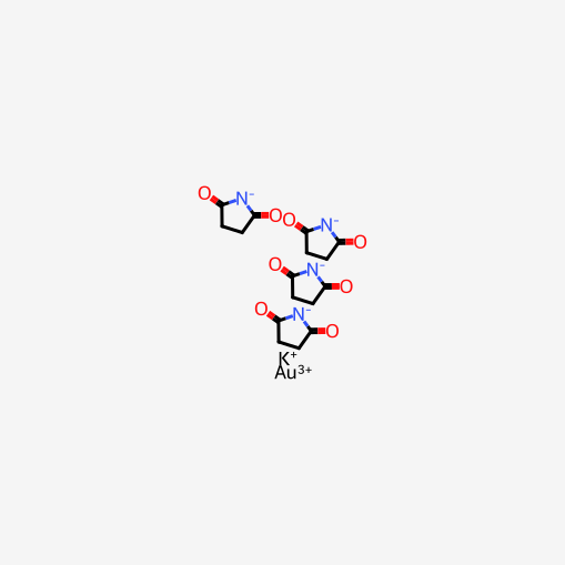 O=C1CCC(=O)[N-]1.O=C1CCC(=O)[N-]1.O=C1CCC(=O)[N-]1.O=C1CCC(=O)[N-]1.[Au+3].[K+]